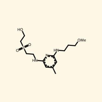 COCCCNc1cc(C)cc(NCCS(=O)(=O)CCO)n1